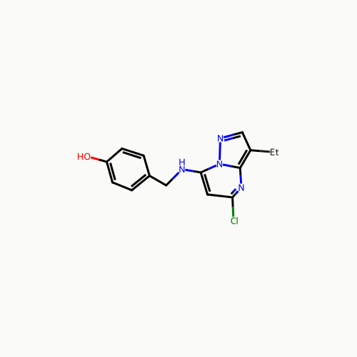 CCc1cnn2c(NCc3ccc(O)cc3)cc(Cl)nc12